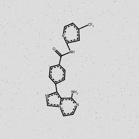 Nc1nccn2cnc(-c3ccc(C(=O)Nc4cc(C(F)(F)F)ccn4)cc3)c12